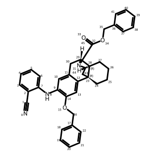 N#Cc1ccccc1Nc1cc2c(cc1OCc1ccccc1)[C@@]13CCCC[C@H]1[C@@H](C2)N(C(=O)OCc1ccccc1)CC3